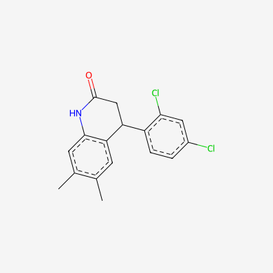 Cc1cc2c(cc1C)C(c1ccc(Cl)cc1Cl)CC(=O)N2